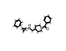 O=C(c1ccccc1)N1CCC(CN[C@H]2C[C@@H]2c2ccccc2)CC1